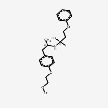 CCOCCOc1ccc(C[C@@H](C)N[C@@](O)(I)CCOc2ccccc2)cc1